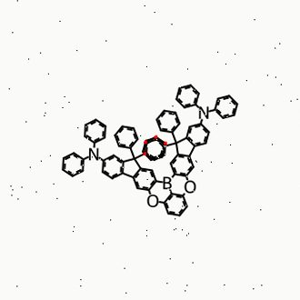 c1ccc(N(c2ccccc2)c2ccc3c(c2)C(c2ccccc2)(c2ccccc2)c2cc4c(cc2-3)Oc2cccc3c2B4c2cc4c(cc2O3)-c2ccc(N(c3ccccc3)c3ccccc3)cc2C4(c2ccccc2)c2ccccc2)cc1